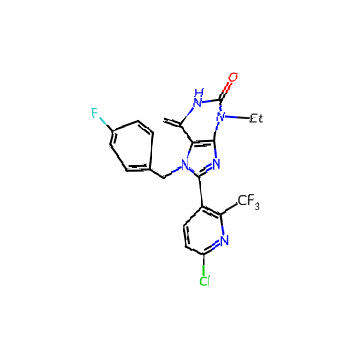 C=C1NC(=O)N(CC)c2nc(-c3ccc(Cl)nc3C(F)(F)F)n(Cc3ccc(F)cc3)c21